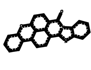 O=c1c2ccc3oc4ccccc4c4ccc(c2c34)c2nc3ccccc3n12